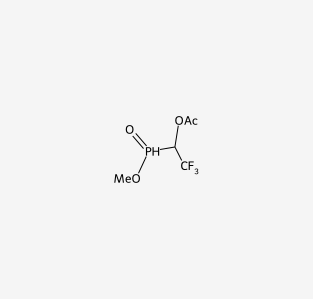 CO[PH](=O)C(OC(C)=O)C(F)(F)F